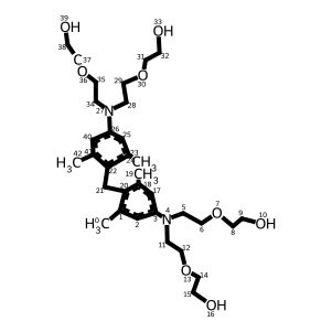 Cc1cc(N(CCOCCO)CCOCCO)cc(C)c1Cc1c(C)cc(N(CCOCCO)CCOCCO)cc1C